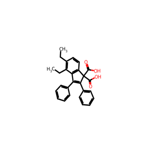 CCc1ccc2c(c1CC)C(c1ccccc1)=C(c1ccccc1)C2(C(=O)O)C(=O)O